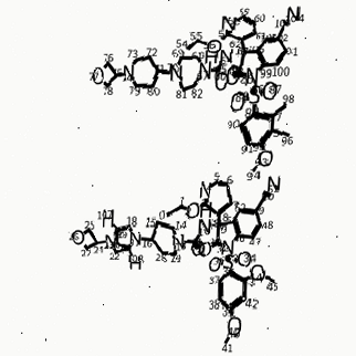 CCOc1ncccc1[C@]1(NC(=O)N2CCC(N3C[C@@H]4C[C@H]3CN4C3COC3)CC2)C(=O)N(S(=O)(=O)c2ccc(OC)cc2OC)c2ccc(C#N)cc21.CCOc1ncccc1[C@]1(NC(=O)N2CCN(C3CCN(C4COC4)CC3)CC2)C(=O)N(S(=O)(=O)c2ccc(OC)c(C)c2C)c2ccc(C#N)cc21